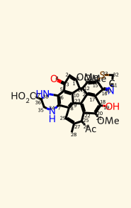 COC1=CC(=O)c2c3c(c4c5c2c1c1c(OC)c2c(c6c(O)c(OC)c(c5c16)C(C(C)=O)C(C)=C4)=NCCS2)NCC(C(=O)O)N3